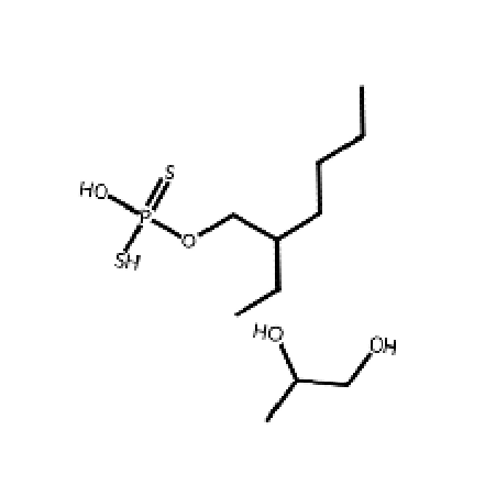 CC(O)CO.CCCCC(CC)COP(O)(=S)S